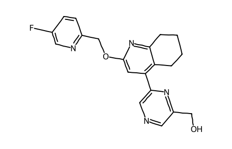 OCc1cncc(-c2cc(OCc3ccc(F)cn3)nc3c2CCCC3)n1